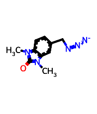 Cn1c(=O)n(C)c2cc(CN=[N+]=[N-])ccc21